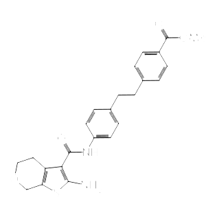 COC(=O)c1ccc(CCc2ccc(NC(=O)c3c(N)sc4c3CCOC4)cc2)cc1